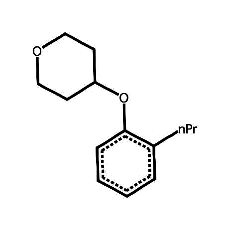 CCCc1ccccc1OC1CCOCC1